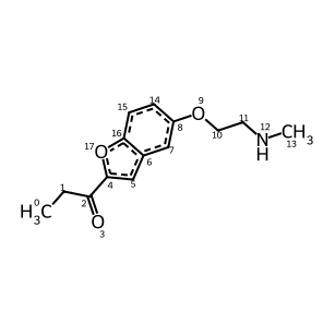 CCC(=O)c1cc2cc(OCCNC)ccc2o1